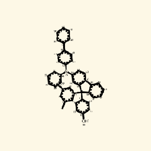 Cc1cc(C)cc(C2(c3ccc(O)cc3)c3ccccc3-c3ccc(N(c4ccccc4)c4ccc(-c5ccccc5)cc4)cc32)c1